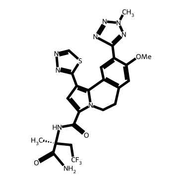 COc1cc2c(cc1-c1nnn(C)n1)-c1c(-c3nncs3)cc(C(=O)N[C@@](C)(CC(F)(F)F)C(N)=O)n1CC2